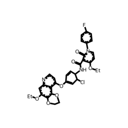 CCOc1cc2nccc(OC3=CC(Cl)C(NC(=O)c4c(OCC)ccn(-c5ccc(F)cc5)c4=O)C=C3)c2c2c1OCCO2